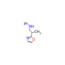 CC(C)NCC(C)c1ncco1